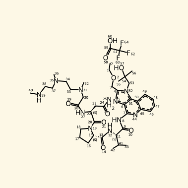 CCOCc1nc2c(NC(=O)[C@@H](NC(=O)[C@@H]3CCCN3C(=O)[C@H](CC(N)=O)NC(=O)CN(C)CCN(C)CCNC)C(C)C)nc3ccccc3c2n1CC(C)(C)O.O=C(O)C(F)(F)F